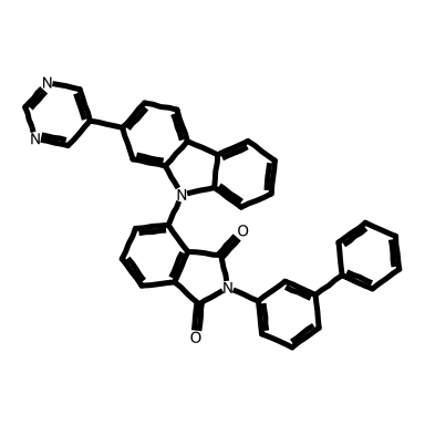 O=C1c2cccc(-n3c4ccccc4c4ccc(-c5cncnc5)cc43)c2C(=O)N1c1cccc(-c2ccccc2)c1